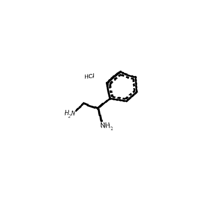 Cl.NCC(N)c1ccccc1